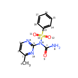 Cc1ccnc(N(C(N)=O)S(=O)(=O)c2ccccc2)n1